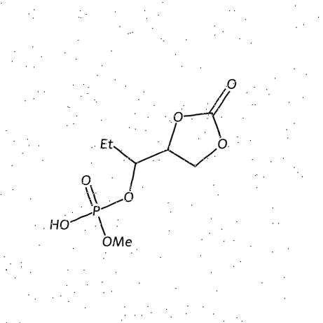 CCC(OP(=O)(O)OC)C1COC(=O)O1